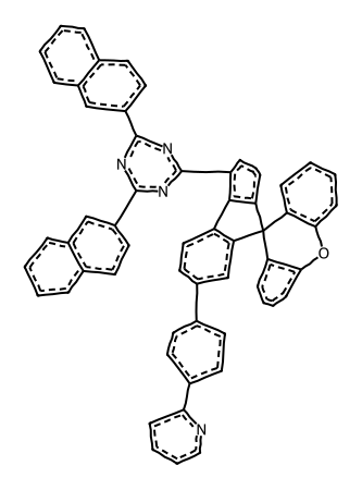 c1ccc(-c2ccc(-c3ccc4c(c3)C3(c5ccccc5Oc5ccccc53)c3cccc(-c5nc(-c6ccc7ccccc7c6)nc(-c6ccc7ccccc7c6)n5)c3-4)cc2)nc1